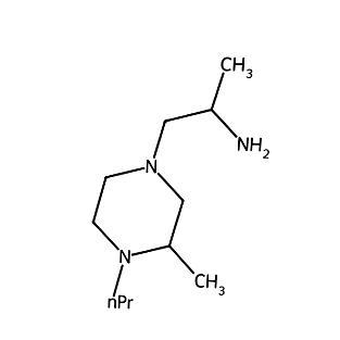 CCCN1CCN(CC(C)N)CC1C